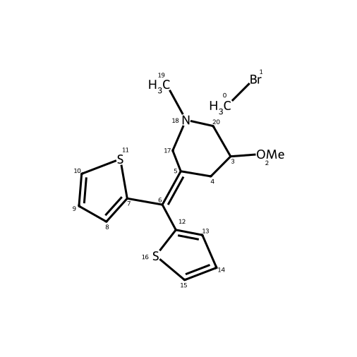 CBr.COC1CC(=C(c2cccs2)c2cccs2)CN(C)C1